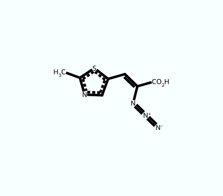 Cc1ncc(/C=C(\N=[N+]=[N-])C(=O)O)s1